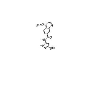 COc1ccnc2cc(C(=O)Nc3cc(C(C)(C)C)nn3C)ccc12